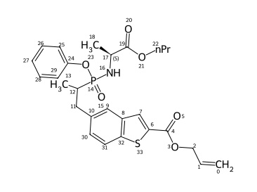 C=CCOC(=O)c1cc2cc(CC(C)P(=O)(N[C@@H](C)C(=O)OCCC)Oc3ccccc3)ccc2s1